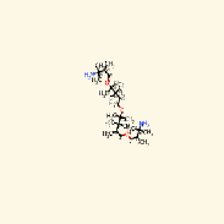 CC(COCC(C)C(C)(C)C(C)(C)OCCC(C)(C)C(C)(C)OCC(C)C(C)(C)N)C(C)(C)N